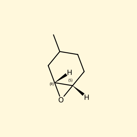 CC1CC[C@@H]2O[C@@H]2C1